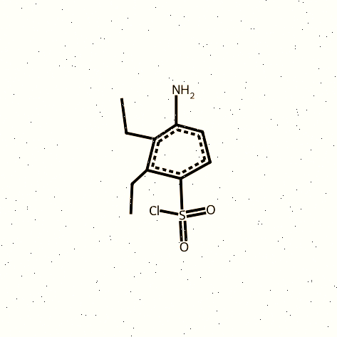 CCc1c(N)ccc(S(=O)(=O)Cl)c1CC